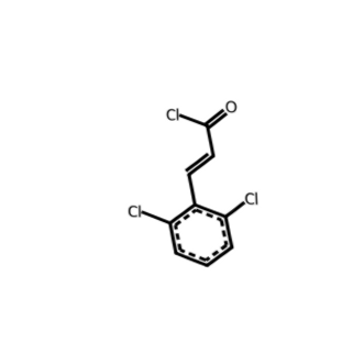 O=C(Cl)/C=C/c1c(Cl)cccc1Cl